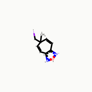 CC1(CI)C=Cc2nonc2C=C1